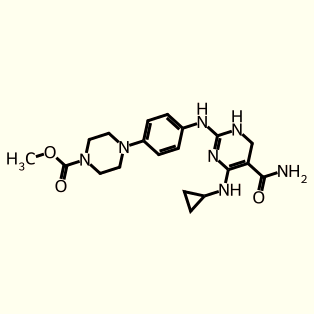 COC(=O)N1CCN(c2ccc(NC3=NC(NC4CC4)=C(C(N)=O)CN3)cc2)CC1